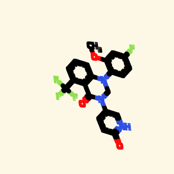 COc1cc(F)ccc1N1CN(c2ccc(=O)[nH]c2)C(=O)c2c1cccc2C(F)(F)F